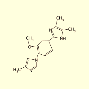 COc1cc(-c2nc(C)c(C)[nH]2)ccc1-n1cnc(C)c1